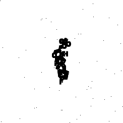 Cc1nc2c(cc1Cc1ccc(F)cc1)N[C@@H](COS(C)(=O)=O)CO2